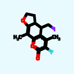 CC1=C2OCCC2C(CI)c2c1oc(=O)c(F)c2C